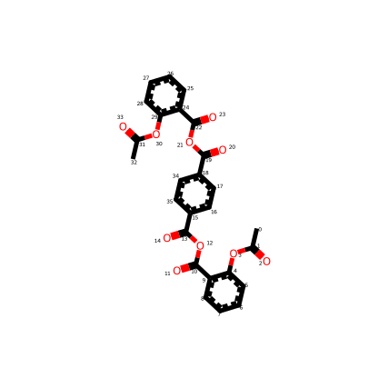 CC(=O)Oc1ccccc1C(=O)OC(=O)c1ccc(C(=O)OC(=O)c2ccccc2OC(C)=O)cc1